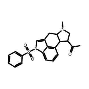 CC(=O)C1CN(C)C2Cc3cn(S(=O)(=O)c4ccccc4)c4cccc(c34)C12